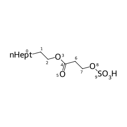 CCCCCCCCCOC(=O)CCOS(=O)(=O)O